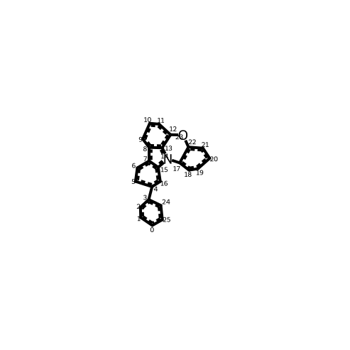 c1ccc(-c2ccc3c4cccc5c4n(c3c2)-c2ccccc2O5)cc1